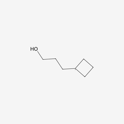 OCCC[C]1CCC1